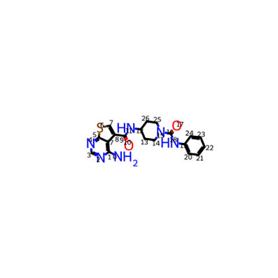 Nc1ncnc2scc(C(=O)NC3CCN(C(=O)Nc4ccccc4)CC3)c12